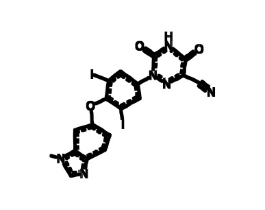 Cn1cnc2ccc(Oc3c(I)cc(-n4nc(C#N)c(=O)[nH]c4=O)cc3I)cc21